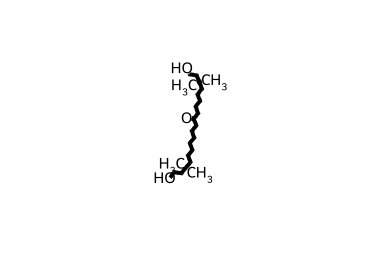 CC(C)(CCO)CCCCCCCC(=O)CCCCCC(C)(C)CCO